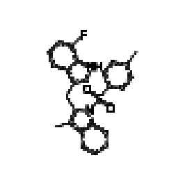 Cc1ccc(S(=O)(=O)n2c(Cc3c[nH]c4c(F)cccc34)c(C)c3ccccc32)cc1